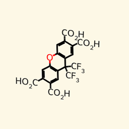 O=C(O)c1cc2c(cc1C(=O)O)C(C(F)(F)F)(C(F)(F)F)c1cc(C(=O)O)c(C(=O)O)cc1O2